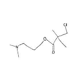 CN(C)CCOC(=O)C(C)(C)CCl